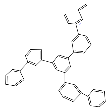 C=C/C=C(\C=C)c1cccc(-c2cc(-c3cccc(-c4ccccc4)c3)cc(-c3cccc(-c4ccccc4)c3)c2)c1